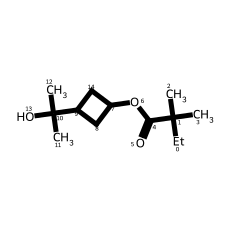 CCC(C)(C)C(=O)OC1CC(C(C)(C)O)C1